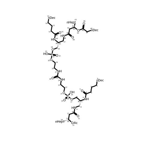 CCCCCCCCCCCCCC(=O)N[C@H](CNC(=O)C[C@@H](CCCCCCC)OC(C)=O)COP(=O)(O)OCCNC(=O)NCCOP(=O)(O)OC[C@@H](CNC(=O)C[C@@H](CCCCCCC)OC(=O)CCCCCCCCCCC)NC(=O)CCCCCCCCCCCCC